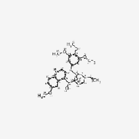 C=CC1C[N+]2(Cc3cc(OC)c(OC)c(OC)c3)CCC1CC2[C@@H](O)c1ccnc2ccc(OC)cc12